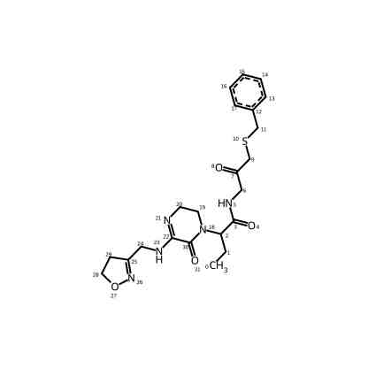 CCC(C(=O)NCC(=O)CSCc1ccccc1)N1CCN=C(NCC2=NOCC2)C1=O